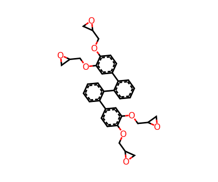 c1ccc(-c2ccccc2-c2ccc(OCC3CO3)c(OCC3CO3)c2)c(-c2ccc(OCC3CO3)c(OCC3CO3)c2)c1